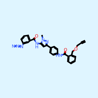 C#CCOCc1ccccc1C(=O)Nc1ccc(-c2cc(NC(=O)c3cccc(N=[N+]=[N-])c3)n(C)n2)cc1